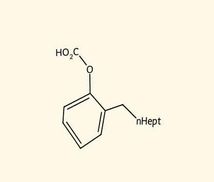 CCCCCCCCc1ccccc1OC(=O)O